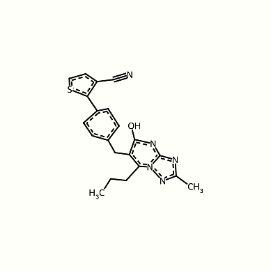 CCCc1c(Cc2ccc(-c3sccc3C#N)cc2)c(O)nc2nc(C)nn12